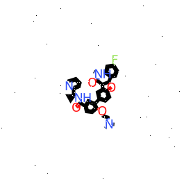 CNC(=O)C1c2cc(-c3cc(C(=O)NC4(c5ccccn5)CC4)ccc3OCCN(C)C)ccc2OC1c1ccc(F)cc1